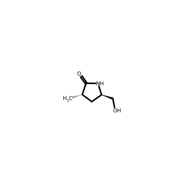 C[C@H]1C[C@H](CO)NC1=O